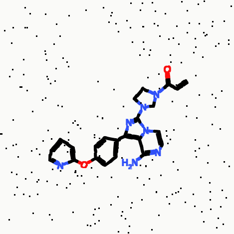 C=CC(=O)N1CCN(c2nc(-c3ccc(Oc4ccccn4)cc3)c3c(N)nccn23)C1